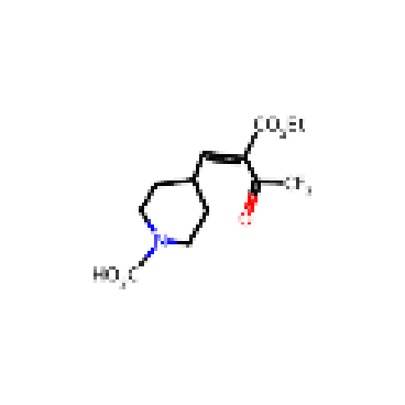 CCOC(=O)C(=CC1CCN(C(=O)O)CC1)C(=O)C(F)(F)F